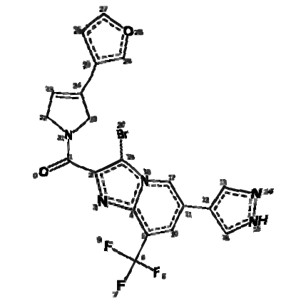 O=C(c1nc2c(C(F)(F)F)cc(-c3cn[nH]c3)cn2c1Br)N1CC=C(c2ccoc2)C1